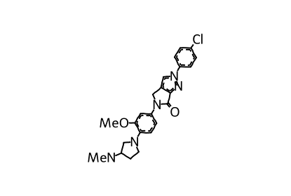 CNC1CCN(c2ccc(N3Cc4cn(-c5ccc(Cl)cc5)nc4C3=O)cc2OC)C1